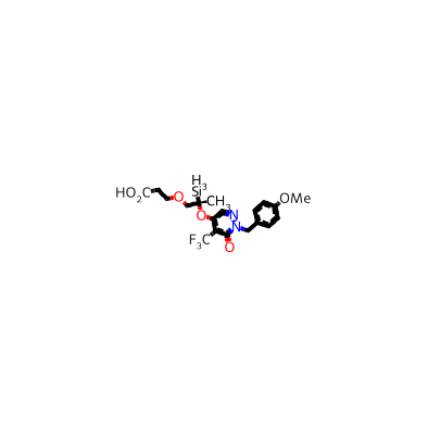 COc1ccc(Cn2ncc(O[C@@](C)([SiH3])COCCC(=O)O)c(C(F)(F)F)c2=O)cc1